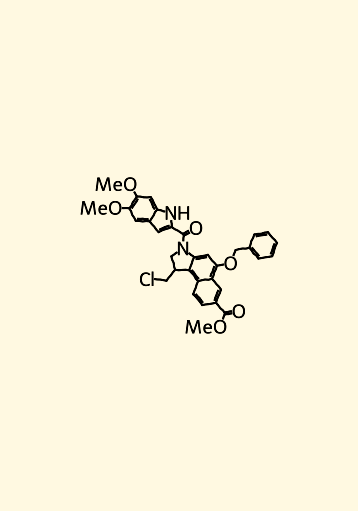 COC(=O)c1ccc2c3c(cc(OCc4ccccc4)c2c1)N(C(=O)c1cc2cc(OC)c(OC)cc2[nH]1)CC3CCl